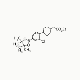 CCOC(=O)CC1CCC(c2ccc(B3OC(C)(C)C(C)(C)O3)cc2Cl)CC1